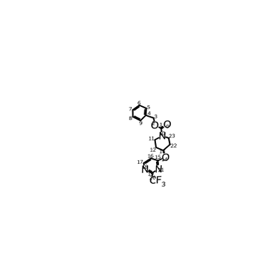 O=C(OCc1ccccc1)N1CCC(Oc2ccnc(C(F)(F)F)n2)CC1